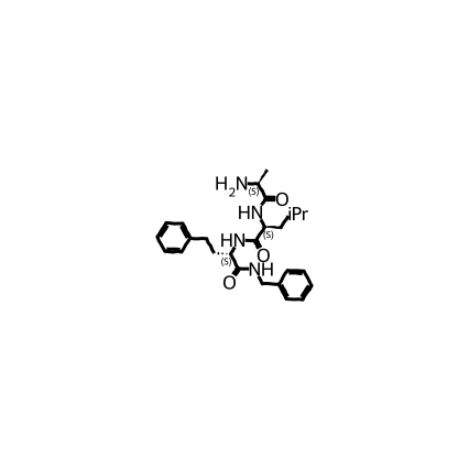 CC(C)C[C@H](NC(=O)[C@H](C)N)C(=O)N[C@@H](CCc1ccccc1)C(=O)NCc1ccccc1